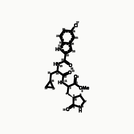 COC(=O)C(C[C@@H]1CCNC1=O)NC(=O)C(CC1CC1)NC(=O)c1cc2cc(Cl)ccc2[nH]1